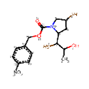 CC(O)C(S)C1CC(S)CN1C(=O)OCc1ccc([N+](=O)[O-])cc1